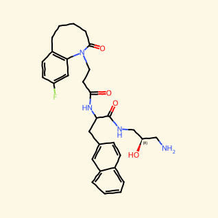 NC[C@@H](O)CNC(=O)C(Cc1ccc2ccccc2c1)NC(=O)CCN1C(=O)CCCCc2ccc(F)cc21